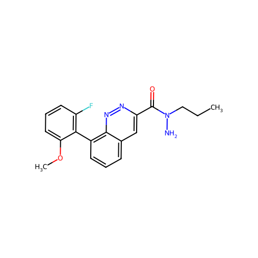 CCCN(N)C(=O)c1cc2cccc(-c3c(F)cccc3OC)c2nn1